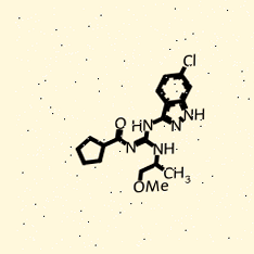 COCC(C)N/C(=N/C(=O)C1CCCC1)Nc1n[nH]c2cc(Cl)ccc12